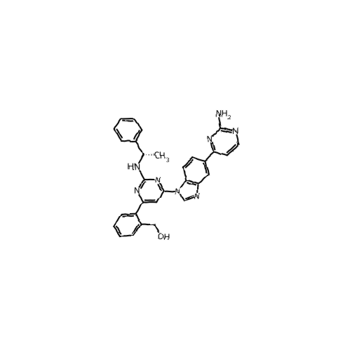 C[C@H](Nc1nc(-c2ccccc2CO)cc(-n2cnc3cc(-c4ccnc(N)n4)ccc32)n1)c1ccccc1